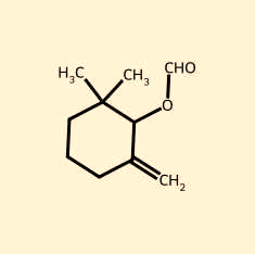 C=C1CCCC(C)(C)C1OC=O